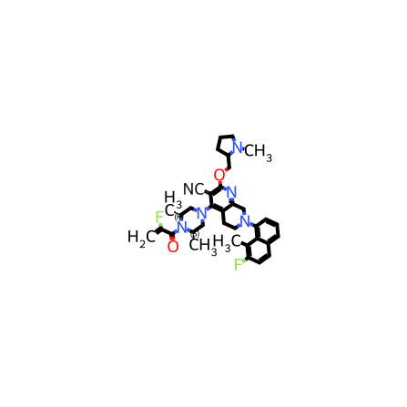 C=C(F)C(=O)N1[C@H](C)CN(c2c(C#N)c(OCC3CCCN3C)nc3c2CCN(c2cccc4ccc(F)c(C)c24)C3)C[C@@H]1C